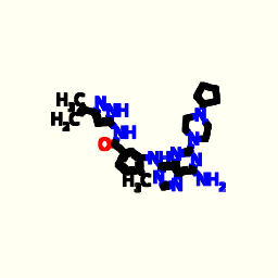 C=C(C)c1cc(NC(=O)c2ccc(C)c(Nc3ncnc4c(N)nc(N5CCN(C6CCCC6)CC5)nc34)c2)[nH]n1